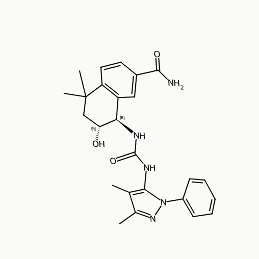 Cc1nn(-c2ccccc2)c(NC(=O)N[C@@H]2c3cc(C(N)=O)ccc3C(C)(C)C[C@H]2O)c1C